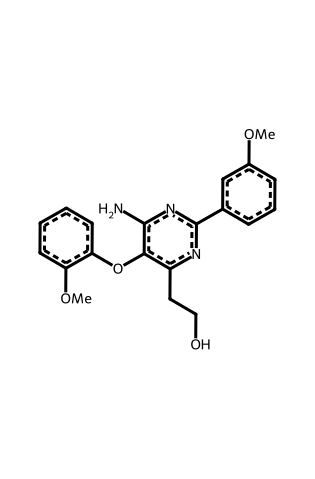 COc1cccc(-c2nc(N)c(Oc3ccccc3OC)c(CCO)n2)c1